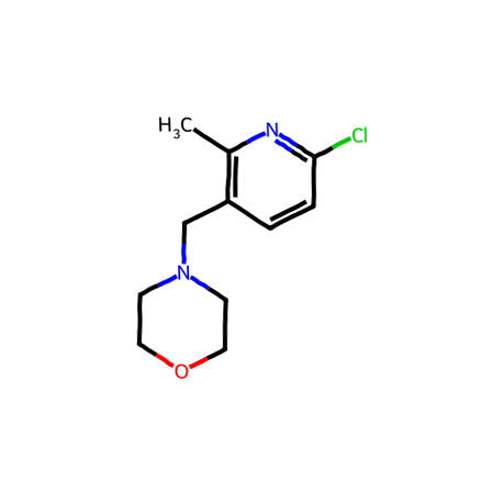 Cc1nc(Cl)ccc1CN1CCOCC1